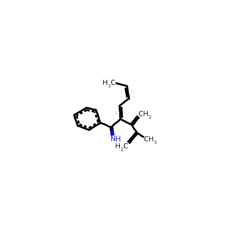 C=C(C)C(=C)/C(=C\C=C/C)C(=N)c1ccccc1